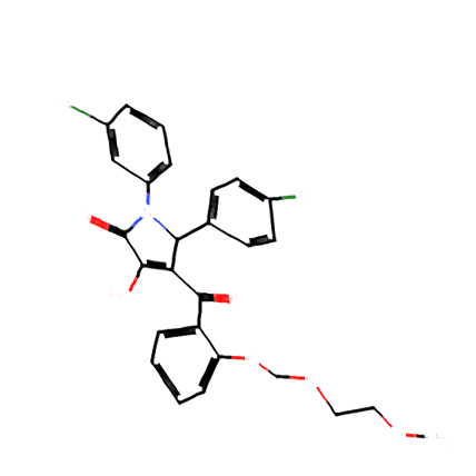 COCCOCOc1ccccc1C(=O)C1=C(O)C(=O)N(c2cccc(Cl)c2)C1c1ccc(Cl)cc1